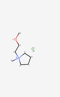 COCC[N+]1(C)CCCC1.[Cl-]